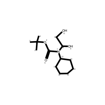 CC(C)(C)OC(=O)N(C(O)CO)C1CCCCC1